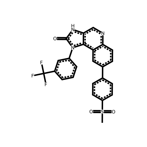 CS(=O)(=O)c1ccc(-c2ccc3ncc4[nH]c(=O)n(-c5cccc(C(F)(F)F)c5)c4c3c2)cc1